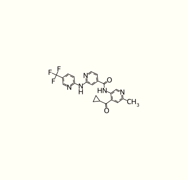 Cc1cc(C(=O)C2CC2)c(NC(=O)c2ccnc(Nc3ccc(C(F)(F)F)cn3)c2)cn1